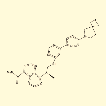 CNC(=O)c1ccnc2c([C@H](C)CNc3cc(-c4ccc(N5CCC6(COC6)C5)nc4)ncn3)cccc12